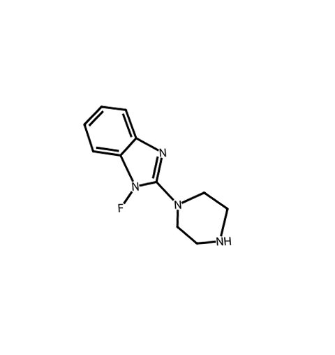 Fn1c(N2CCNCC2)nc2ccccc21